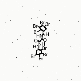 O=C(NNc1cc(Br)c(Br)c(Br)c1Br)C(=O)NNc1cc(Br)c(Br)c(Br)c1Br